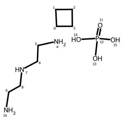 C1CCC1.NCCNCCN.O=P(O)(O)O